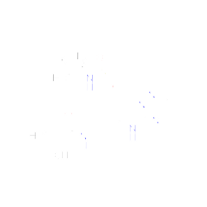 CC(C)C(=O)Nc1cccc(Nc2ncc3ccc(-c4cccc(S(=O)(=O)NC(C)(C)C)c4)n3n2)c1